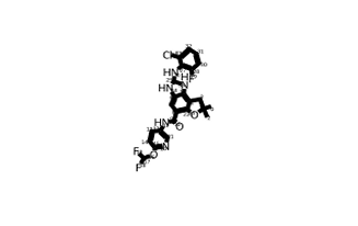 CC1(C)Cc2c3c(cc(C(=O)Nc4ccc(OC(F)F)nc4)c2O1)NC(Nc1c(F)cccc1Cl)N3